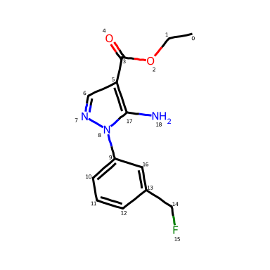 CCOC(=O)c1cnn(-c2cccc(CF)c2)c1N